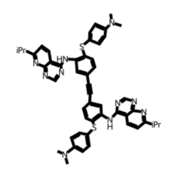 CC(C)c1ccc2c(Nc3cc(C#Cc4ccc(Sc5ccc(N(C)C)cc5)c(Nc5ncnc6nc(C(C)C)ccc56)c4)ccc3Sc3ccc(N(C)C)cc3)ncnc2n1